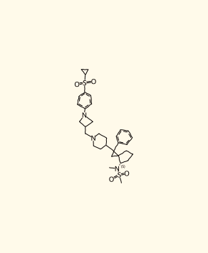 CN([C@H]1CCCC12CC2(c1ccccc1)C1CCN(CC2CN(c3ccc(S(=O)(=O)C4CC4)cc3)C2)CC1)S(C)(=O)=O